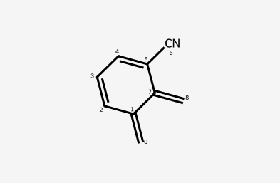 C=c1cccc(C#N)c1=C